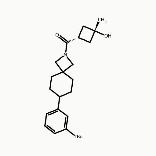 CC(C)(C)c1cccc(C2CCC3(CC2)CN(C(=O)[C@H]2C[C@@](C)(O)C2)C3)c1